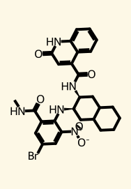 CNC(=O)c1cc(Br)cc([N+](=O)[O-])c1N[C@@H]1CC2CCCCC2C[C@@H]1NC(=O)c1cc(=O)[nH]c2ccccc12